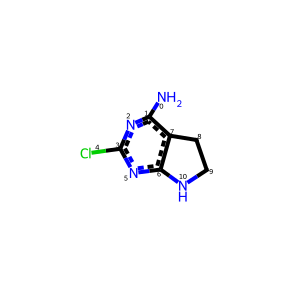 Nc1nc(Cl)nc2c1CCN2